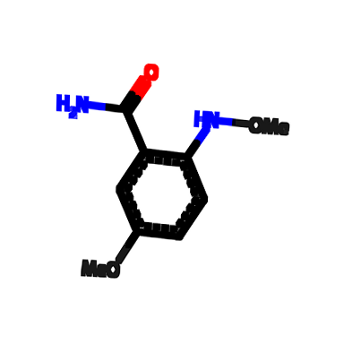 CONc1ccc(OC)cc1C(N)=O